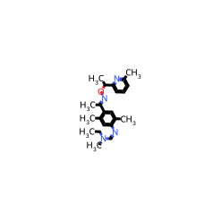 CCN(C)/C=N\c1cc(C)c(/C(C)=N/OC(C)c2cccc(C)n2)cc1C